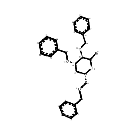 BrC1O[C@H](COCc2ccccc2)C[C@H](OCc2ccccc2)[C@H]1OCc1ccccc1